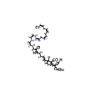 CC/C=C\C/C=C\C/C=C\C/C=C\C/C=C\C/C=C\CCC(=O)NCCSSC(C)(C)C(NC(=O)OC(C)(C)C)C(=O)O